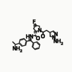 CC(N)c1ccc([C@@H](NC(=O)[C@@H]2C[C@@H](F)CN2C(=O)Cc2cnn(N)c2)c2ccccc2)cc1